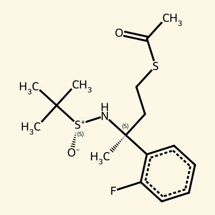 CC(=O)SCC[C@](C)(N[S@+]([O-])C(C)(C)C)c1ccccc1F